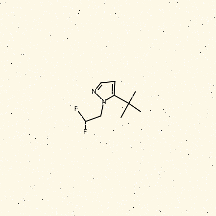 CC(C)(C)c1ccnn1CC(F)F